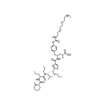 CCCO[C@H](C[C@H](C(C)C)N(CCC)C(=O)[C@@H](NC(=O)[C@H]1CCCCN1C)[C@@H](C)CC)c1nc(C(=O)N[C@@H](Cc2ccc(OC(=O)NCCOCCOCCN)cc2)C[C@H](C)C(=O)O)cs1